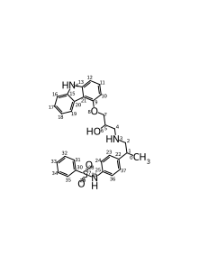 CC(CNCC(O)COc1cccc2[nH]c3ccccc3c12)c1ccc(NS(=O)(=O)c2ccccc2)cc1